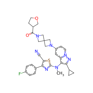 CN(c1nc(-c2ccc(F)cc2)c(C#N)s1)c1c(C2CC2)nn2ccc(N3CC4(CN(C(=O)C5CCOC5)C4)C3)cc12